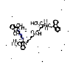 CN1\C(=C/C=C/C=C/C2=[N+](CCCCCC(=O)NCCCC[C@H](NC(=O)OCC3c4ccccc4-c4ccccc43)C(=O)O)c3ccccc3C2(C)C)C(C)(C)c2ccccc21